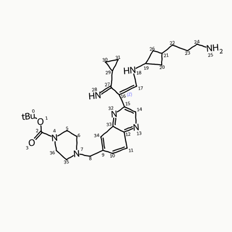 CC(C)(C)OC(=O)N1CCN(Cc2ccc3ncc(/C(=C/NC4CC(CCCN)C4)C(=N)C4CC4)nc3c2)CC1